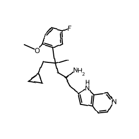 COc1ccc(F)cc1C(C)(CC(N)Cc1cc2ccncc2[nH]1)CC1CC1